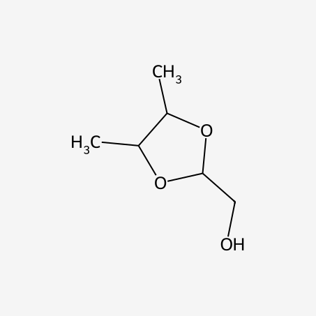 CC1OC(CO)OC1C